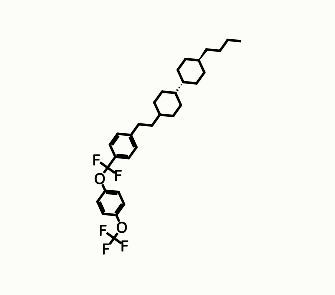 CCCC[C@H]1CC[C@H](C2CCC(CCc3ccc(C(F)(F)Oc4ccc(OC(F)(F)F)cc4)cc3)CC2)CC1